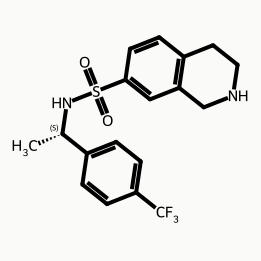 C[C@H](NS(=O)(=O)c1ccc2c(c1)CNCC2)c1ccc(C(F)(F)F)cc1